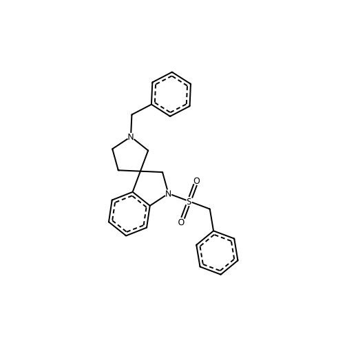 O=S(=O)(Cc1ccccc1)N1CC2(CCN(Cc3ccccc3)C2)c2ccccc21